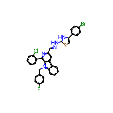 Fc1ccc(Cn2c3ccccc3c3cc(/C=N/NC4NC(c5ccc(Br)cc5)=CS4)nc(-c4ccccc4Cl)c32)cc1